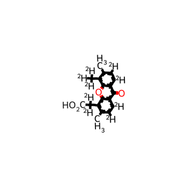 [2H]c1c(C)c(C([2H])([2H])[2H])c2oc3c(C([2H])([2H])C(=O)O)c(C)c([2H])c([2H])c3c(=O)c2c1[2H]